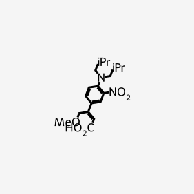 COCC(=CC(=O)O)c1ccc(N(CC(C)C)CC(C)C)c([N+](=O)[O-])c1